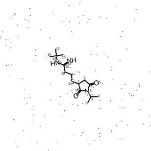 CC(C)N1C(=O)CC(SCCC(=N)NC(C)(C)C)C1=O